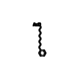 CC(=O)OCCCCCCCCc1ccccc1